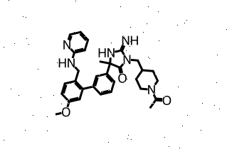 COc1ccc(CNc2ccccn2)c(-c2cccc(C3(C)NC(=N)N(CC4CCN(C(C)=O)CC4)C3=O)c2)c1